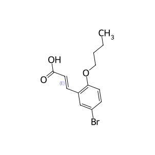 CCCCOc1ccc(Br)cc1/C=C/C(=O)O